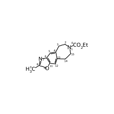 CCOC(=O)N1CCc2cc3nc(C)oc3cc2CC1